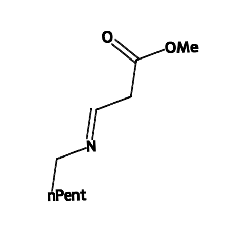 CCCCCCN=CCC(=O)OC